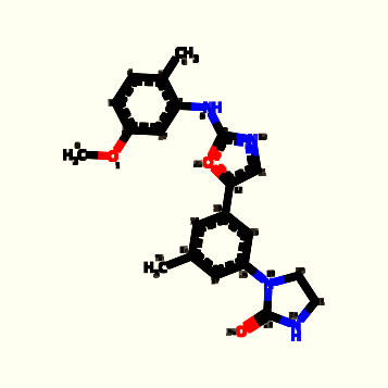 COc1ccc(C)c(Nc2ncc(-c3cc(C)cc(N4CCNC4=O)c3)o2)c1